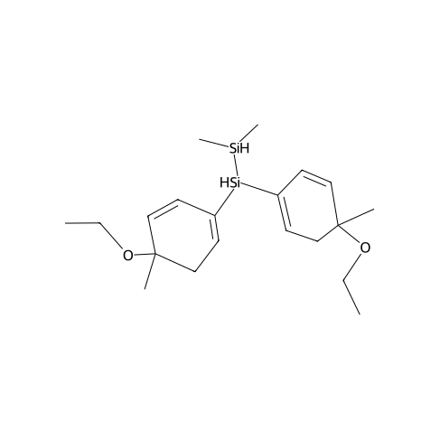 CCOC1(C)C=CC([SiH](C2=CCC(C)(OCC)C=C2)[SiH](C)C)=CC1